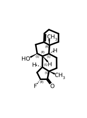 C[C@]12CCCC=C1C[C@H](O)[C@@H]1[C@@H]2CC[C@]2(C)C(=O)[C@H](F)C[C@@H]12